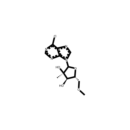 COC[C@H]1OC(n2cnc3c(Cl)ncnc32)[C@](C)(O)[C@@H]1O